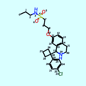 CCCNS(=O)(=O)CCCOc1ccc2c(c1)C(C1(c3ccc(Cl)cc3)CCC1)NCC2